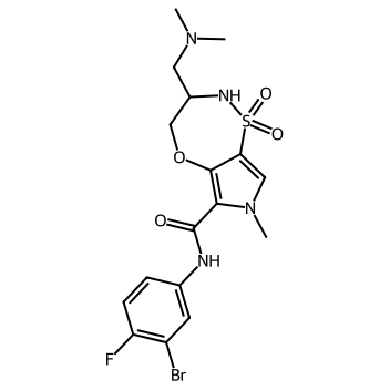 CN(C)CC1COc2c(cn(C)c2C(=O)Nc2ccc(F)c(Br)c2)S(=O)(=O)N1